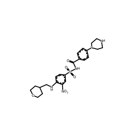 O=C(NS(=O)(=O)c1ccc(NCC2CCOCC2)c([N+](=O)[O-])c1)c1ccc(N2CCNCC2)cc1